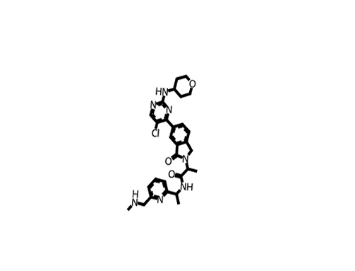 CNCc1cccc(C(C)NC(=O)C(C)N2Cc3ccc(-c4nc(NC5CCOCC5)ncc4Cl)cc3C2=O)n1